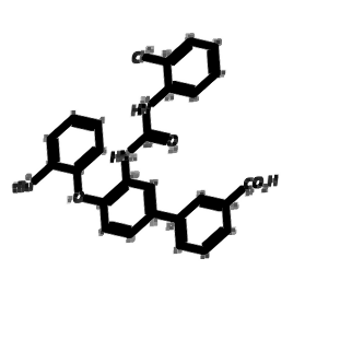 CC(C)(C)c1ccccc1Oc1ccc(-c2cccc(C(=O)O)c2)cc1NC(=O)Nc1ccccc1Cl